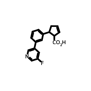 O=C(O)C1C=CCC1c1cccc(-c2cncc(F)c2)c1